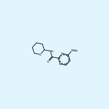 CNc1ccnc(C(=O)NC2CCCCO2)n1